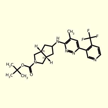 Cc1cc(-c2cnccc2C(F)(F)F)nnc1NC1C[C@@H]2CN(C(=O)OC(C)(C)C)C[C@@H]2C1